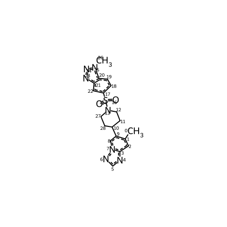 Cc1cc2ncnn2cc1C1CCN(S(=O)(=O)c2ccc3c(c2)nnn3C)CC1